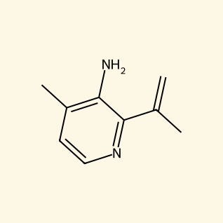 C=C(C)c1nccc(C)c1N